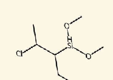 CCC(C(C)Cl)[SiH](OC)OC